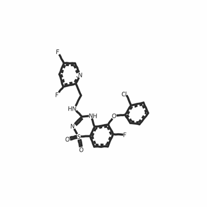 O=S1(=O)N=C(NCc2ncc(F)cc2F)Nc2c1ccc(F)c2Oc1ccccc1Cl